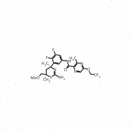 COC[C@@]1(C)C[C@@](C)(c2cc(NC(=O)c3ncc(OCC(F)(F)F)nc3C)cc(F)c2F)N=C(N)S1